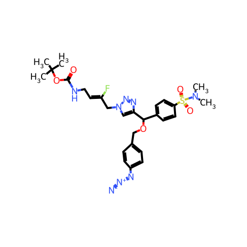 CN(C)S(=O)(=O)c1ccc(C(OCc2ccc(N=[N+]=[N-])cc2)c2cn(C/C(F)=C/CNC(=O)OC(C)(C)C)nn2)cc1